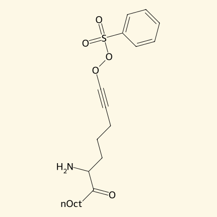 CCCCCCCCC(=O)C(N)CCCC#COOS(=O)(=O)c1ccccc1